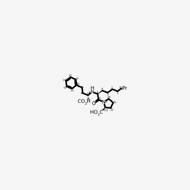 CC(C)CCCC[C@H](N[C@@H](CCc1ccccc1)C(=O)O)C(=O)N1CCC[C@H]1C(=O)O